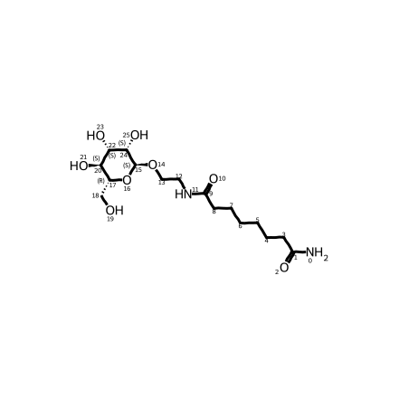 NC(=O)CCCCCCC(=O)NCCO[C@H]1O[C@H](CO)[C@@H](O)[C@H](O)[C@@H]1O